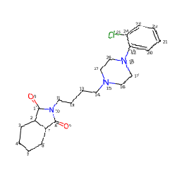 O=C1C2CCCCC2C(=O)N1CCCCN1CCN(c2ccccc2Cl)CC1